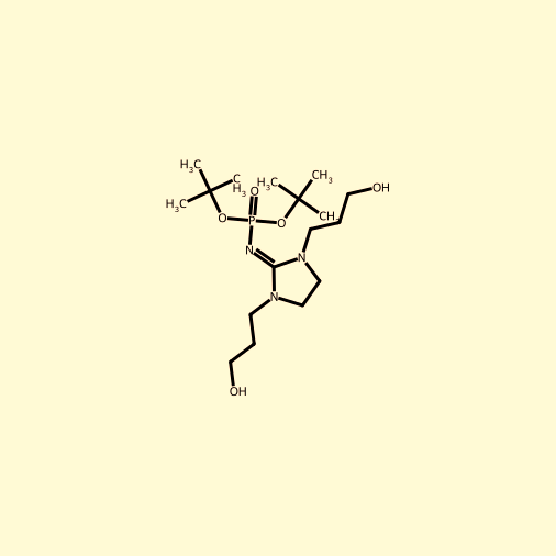 CC(C)(C)OP(=O)(N=C1N(CCCO)CCN1CCCO)OC(C)(C)C